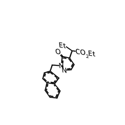 CCOC(=O)C(CC)c1ccnn(Cc2ccc3ccccc3c2)c1=O